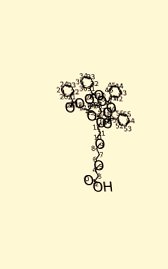 O=C(O)CCOCCCOCCCO[C@H]1OC(COC(=O)c2ccccc2)[C@@H](OC(=O)c2ccccc2)[C@H](OC(=O)c2ccccc2)C1OC(=O)c1ccccc1